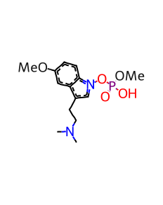 COc1ccc2c(c1)c(CCN(C)C)cn2OP(=O)(O)OC